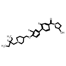 CCC(F)(CC)CN1CCC(COc2ccc(-c3ccc(C(=O)N4CCC(O)C4)cc3F)cc2F)CC1